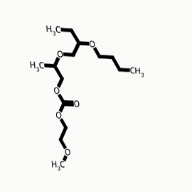 CCCCOC(CC)COC(C)COC(=O)OCCOC